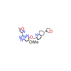 COc1cc2nnc(-c3cc(C)on3)n2nc1OCc1ccc2c(n1)CCC([C@@H]1CCOC1)C2